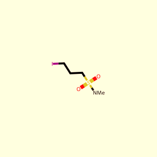 CNS(=O)(=O)CCCI